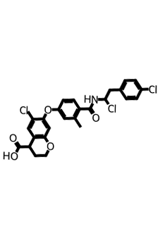 Cc1cc(Oc2cc3c(cc2Cl)C(C(=O)O)CCO3)ccc1C(=O)NC(Cl)Cc1ccc(Cl)cc1